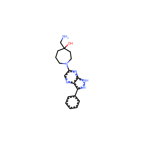 NCC1(O)CCCN(c2cnc3c(-c4ccccc4)n[nH]c3n2)CC1